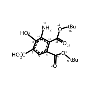 CC(C)(C)OC(=O)c1cc(C(=O)O)c(O)c(N)c1C(=O)OC(C)(C)C